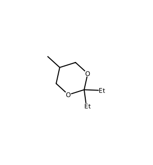 CCC1(CC)OCC(C)CO1